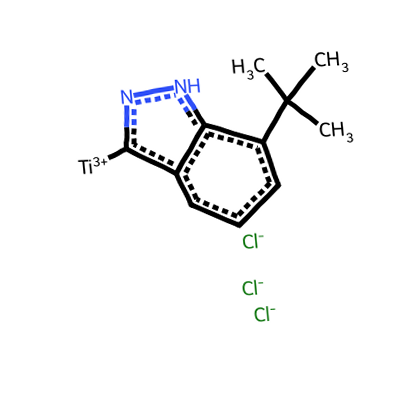 CC(C)(C)c1cccc2[c]([Ti+3])n[nH]c12.[Cl-].[Cl-].[Cl-]